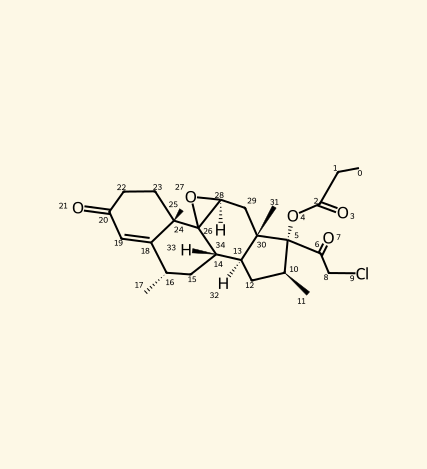 CCC(=O)O[C@]1(C(=O)CCl)[C@@H](C)C[C@H]2[C@@H]3C[C@H](C)C4=CC(=O)CC[C@]4(C)C34O[C@H]4C[C@@]21C